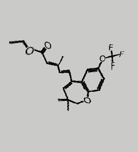 CCOC(=O)/C=C(C)/C=C/C1=CC(C)(C)COc2ccc(OC(F)(F)F)cc21